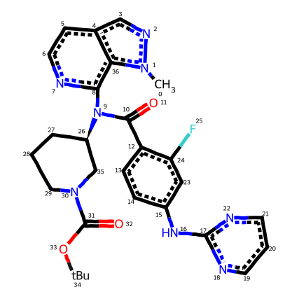 Cn1ncc2ccnc(N(C(=O)c3ccc(Nc4ncccn4)cc3F)[C@@H]3CCCN(C(=O)OC(C)(C)C)C3)c21